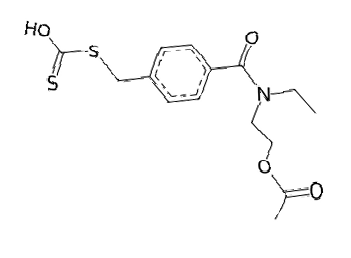 CCN(CCOC(C)=O)C(=O)c1ccc(CSC(O)=S)cc1